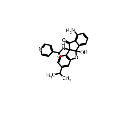 CC(C)c1ccc2c(c1)OC1(O)c3cccc(N)c3C(=O)C21NC(=O)c1ccncc1